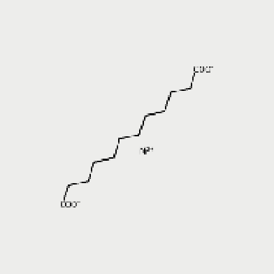 O=C([O-])CCCCCCCCCCC(=O)[O-].[Ni+2]